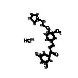 COc1cc(C=CC(=O)c2cc(C)cc(C)c2)ccc1OCCN1CCCC1.Cl